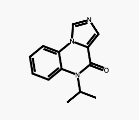 CC(C)n1c(=O)c2cncn2c2ccccc21